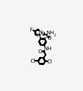 NS(=O)(=O)c1cc(NC(=O)Cc2cc(Cl)ccc2Cl)ccc1-n1cc(F)cn1